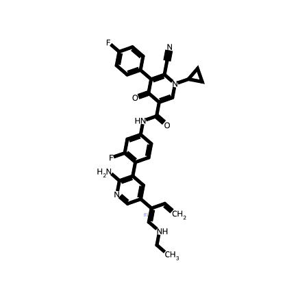 C=C/C(=C\NCC)c1cnc(N)c(-c2ccc(NC(=O)c3cn(C4CC4)c(C#N)c(-c4ccc(F)cc4)c3=O)cc2F)c1